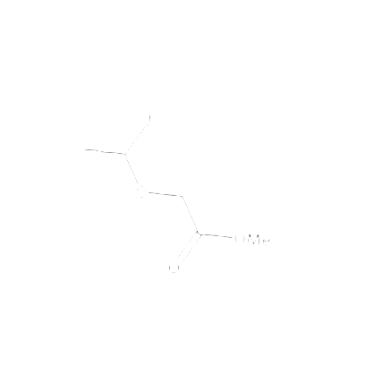 COC(=O)COC(C)I